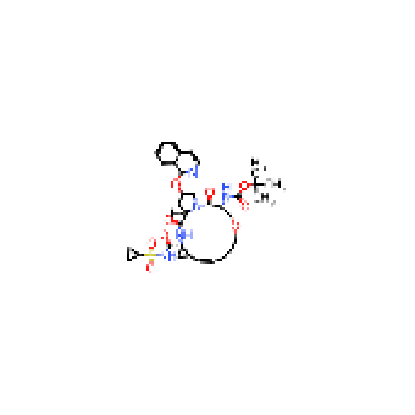 CC(C)(C)OC(=O)N[C@H]1COCCC/C=C\C2C[C@@]2(C(=O)NS(=O)(=O)C2CC2)NC(=O)[C@@H]2CC(Oc3nccc4ccccc34)CN2C1=O